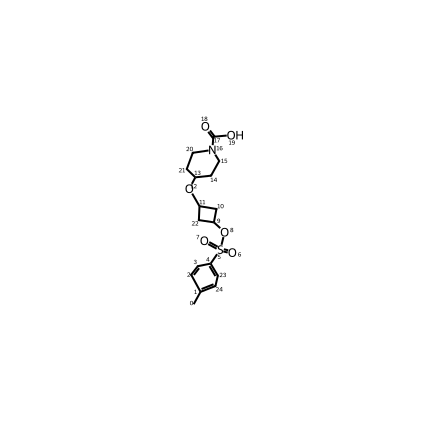 Cc1ccc(S(=O)(=O)OC2CC(OC3CCN(C(=O)O)CC3)C2)cc1